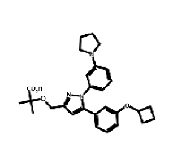 CC(C)(OCc1cc(-c2cccc(OC3CCC3)c2)n(-c2cccc(N3CCCC3)c2)n1)C(=O)O